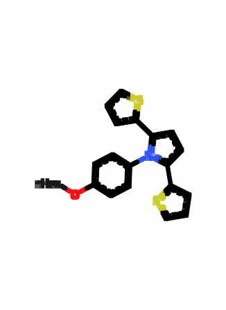 CCCCCCOc1ccc(-n2c(-c3cccs3)ccc2-c2cccs2)cc1